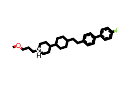 COCCC[SiH]1CCC(C2CCC(CCc3ccc(-c4ccc(F)cc4)cc3)CC2)CC1